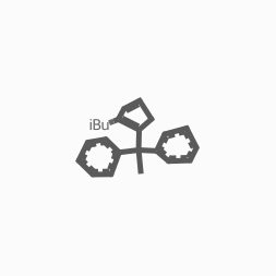 CCC(C)C1=C(C(C)(c2ccccc2)c2ccccc2)CC=C1